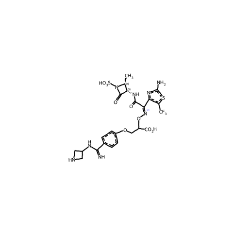 C[C@H]1[C@H](NC(=O)/C(=N\OC(COc2ccc(C(=N)NC3CNC3)cc2)C(=O)O)c2nc(N)sc2C(F)(F)F)C(=O)N1S(=O)(=O)O